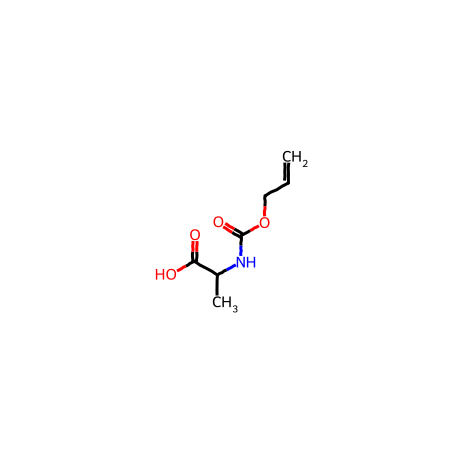 C=CCOC(=O)NC(C)C(=O)O